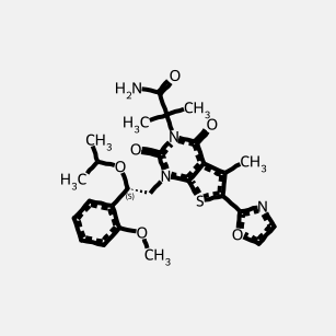 COc1ccccc1[C@@H](Cn1c(=O)n(C(C)(C)C(N)=O)c(=O)c2c(C)c(-c3ncco3)sc21)OC(C)C